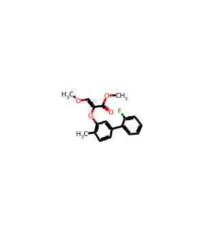 CO/C=C(\Oc1cc(-c2ccccc2F)ccc1C)C(=O)OC